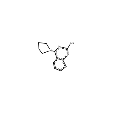 CCCc1nc(N2CCCC2)c2ccccc2n1